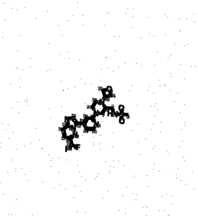 CS(=O)(=O)NCC1CN(c2cc(-c3cnc4ccc(C(F)F)nn34)ccn2)CCN1C1COC1